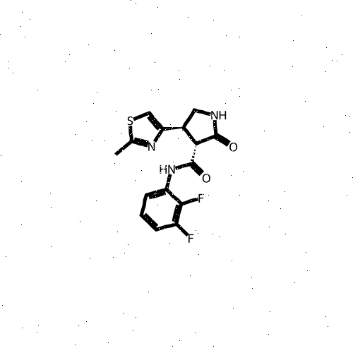 Cc1nc([C@H]2CNC(=O)[C@@H]2C(=O)Nc2cccc(F)c2F)cs1